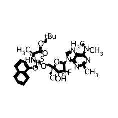 Cc1nc(N(C)C)c2ncn([C@@H]3O[C@](CCl)(CO[P@](=S)(N[C@@H](C)C(=O)OCC(C)(C)C)Oc4cccc5ccccc45)[C@@H](O)[C@@H]3F)c2n1